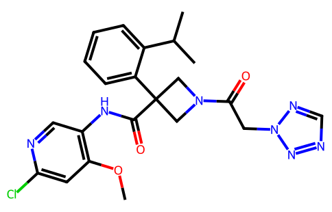 COc1cc(Cl)ncc1NC(=O)C1(c2ccccc2C(C)C)CN(C(=O)Cn2ncnn2)C1